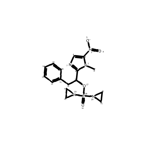 Cn1c([N+](=O)[O-])cnc1C(Cc1ccccc1)OP(=O)(N1CC1)N1CC1